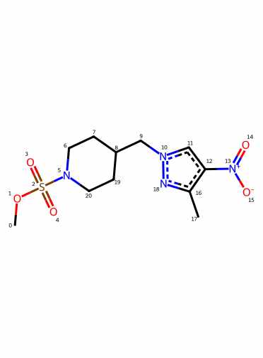 COS(=O)(=O)N1CCC(Cn2cc([N+](=O)[O-])c(C)n2)CC1